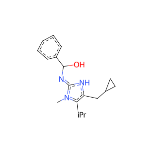 CC(C)c1c(CC2CC2)[nH]/c(=N\C(O)c2ccccc2)n1C